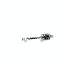 CCCCCCCCCCCCNC(=O)[C@@H](O)[C@H](O)[C@@H](O)[C@@H](O)C(=O)O